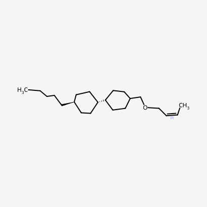 C/C=C\COCC1CCC([C@H]2CC[C@H](CCCCC)CC2)CC1